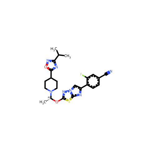 CC(C)c1noc(C2CCN([C@@H](C)Oc3nn4cc(-c5ccc(C#N)cc5F)nc4s3)CC2)n1